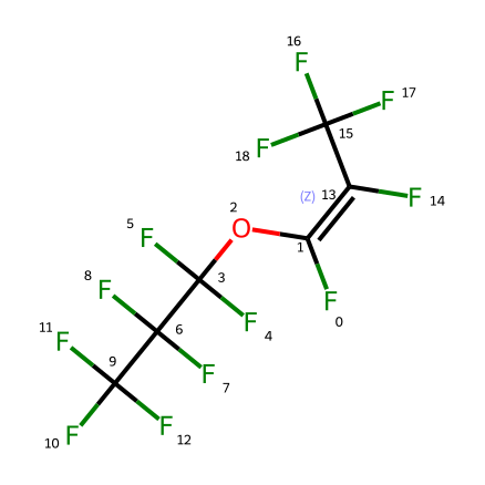 F/C(OC(F)(F)C(F)(F)C(F)(F)F)=C(\F)C(F)(F)F